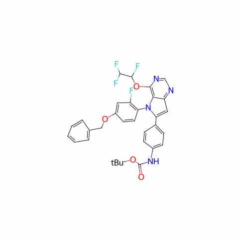 CC(C)(C)OC(=O)Nc1ccc(-c2cc3ncnc(OC(F)C(F)F)c3n2-c2ccc(OCc3ccccc3)cc2F)cc1